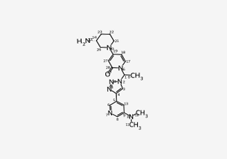 CC(n1cc(-c2cncc(N(C)C)c2)nn1)n1ccc(N2CCC[C@@H](N)C2)cc1=O